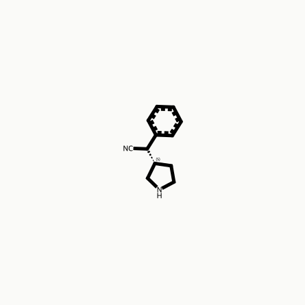 N#CC(c1ccccc1)[C@@H]1CCNC1